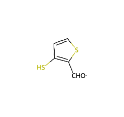 O=[C]c1sccc1S